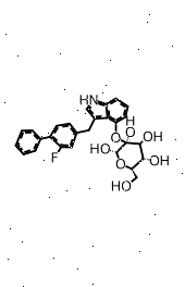 OC[C@H]1O[C@H](O)[C@@](O)(Oc2cccc3[nH]cc(Cc4ccc(-c5ccccc5)c(F)c4)c23)[C@@H](O)[C@@H]1O